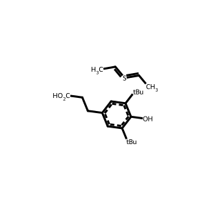 CC(C)(C)c1cc(CCC(=O)O)cc(C(C)(C)C)c1O.CC=S=CC